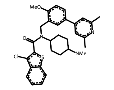 CNC1CCC(N(Cc2cc(-c3cc(C)nc(C)c3)ccc2OC)C(=O)c2sc3ccccc3c2Cl)CC1